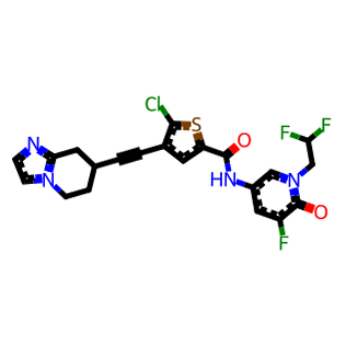 O=C(Nc1cc(F)c(=O)n(CC(F)F)c1)c1cc(C#CC2CCn3ccnc3C2)c(Cl)s1